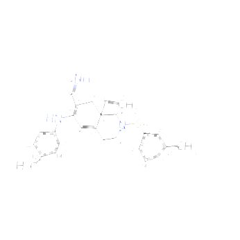 C=CC12CC(C=N)=C(Nc3ccc(C)cc3)C=C1CCN(Sc1cccc(C)c1)C2